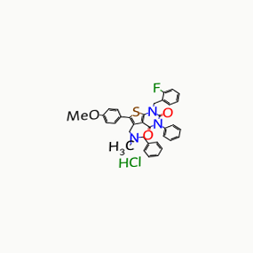 COc1ccc(-c2sc3c(c2CN(C)Cc2ccccc2)c(=O)n(-c2ccccc2)c(=O)n3Cc2ccccc2F)cc1.Cl